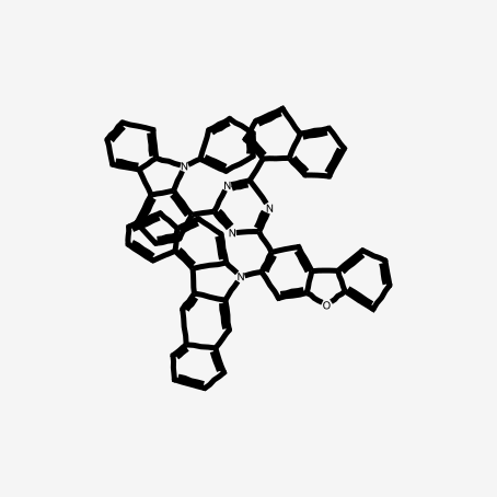 c1ccc(-n2c3ccccc3c3cccc(-c4nc(-c5cc6c(cc5-n5c7cc8ccccc8cc7c7c8ccccc8ccc75)oc5ccccc56)nc(-c5cccc6ccccc56)n4)c32)cc1